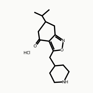 CC(C)C1CC(=O)c2c(noc2CC2CCNCC2)C1.Cl